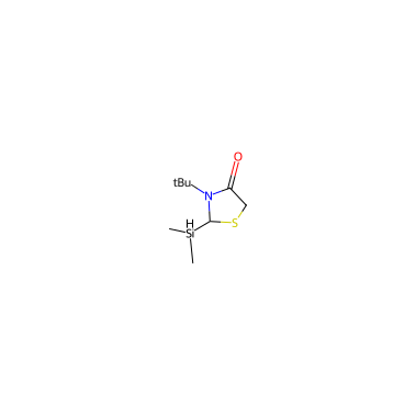 C[SiH](C)C1SCC(=O)N1C(C)(C)C